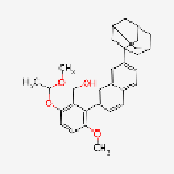 COc1ccc(OC(C)OC)c(CO)c1-c1ccc2ccc(C34CC5CC(CC(C5)C3)C4)cc2c1